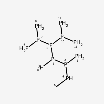 [3H]P(P(P)PC)P(P(P)P)P(P)P